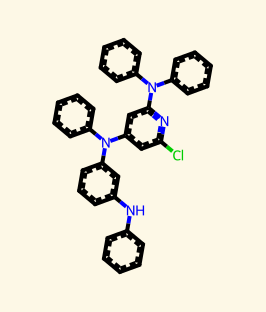 Clc1cc(N(c2ccccc2)c2cccc(Nc3ccccc3)c2)cc(N(c2ccccc2)c2ccccc2)n1